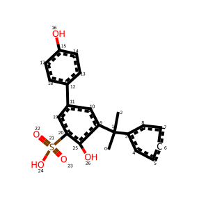 CC(C)(c1ccccc1)c1cc(-c2ccc(O)cc2)cc(S(=O)(=O)O)c1O